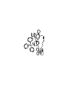 C#CCCCCN(C)P(=O)(Cl)OCC1CN(C(c2ccccc2)(c2ccccc2)c2ccccc2)CC(n2cc(C)c(=O)[nH]c2=O)O1